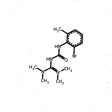 Cc1cccc(Br)c1NC(=O)NC(N(C)C)=[N+](C)C